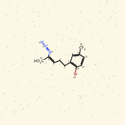 [N-]=[N+]=NC(=CCCc1cc(C(F)(F)F)ccc1Br)C(=O)O